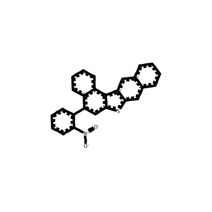 O=[N+]([O-])c1ccccc1-c1cc2sc3cc4ccccc4cc3c2c2ccccc12